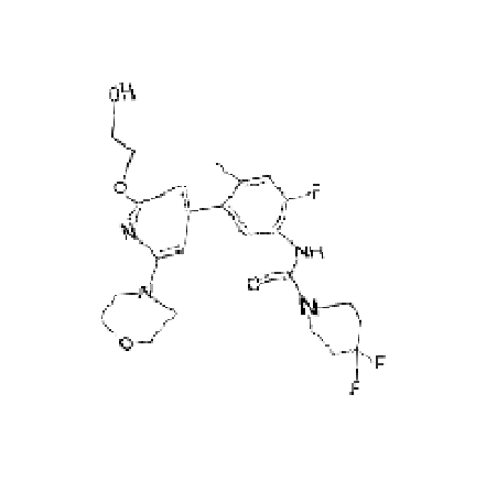 Cc1cc(F)c(NC(=O)N2CCC(F)(F)CC2)cc1-c1cc(OCCO)nc(N2CCOCC2)c1